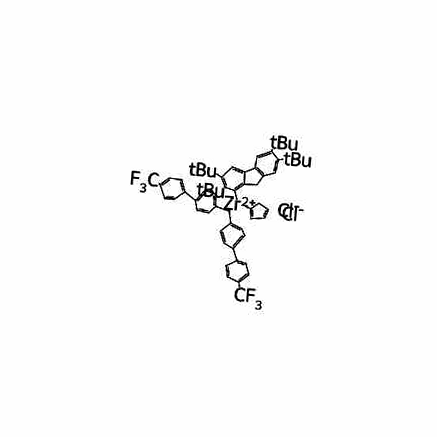 CC(C)(C)c1cc2c(cc1C(C)(C)C)-c1cc(C(C)(C)C)c(C(C)(C)C)[c]([Zr+2]([C]3=CC=CC3)=[C](c3ccc(-c4ccc(C(F)(F)F)cc4)cc3)c3ccc(-c4ccc(C(F)(F)F)cc4)cc3)c1C2.[Cl-].[Cl-]